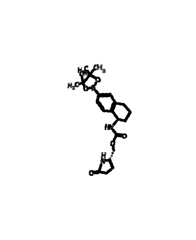 CC1(C)OB(c2ccc3c(c2)CCC[C@H]3NC(=O)OC[C@@H]2CCC(=O)N2)OC1(C)C